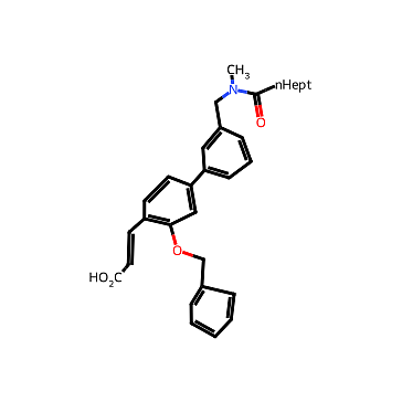 CCCCCCCC(=O)N(C)Cc1cccc(-c2ccc(/C=C/C(=O)O)c(OCc3ccccc3)c2)c1